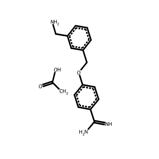 CC(=O)O.N=C(N)c1ccc(OCc2cccc(CN)c2)cc1